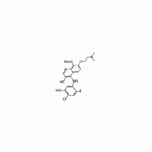 COc1c(OCCN(C)C)ccc2c(Nc3cc(O)c(Cl)cc3F)c(C#N)cnc12